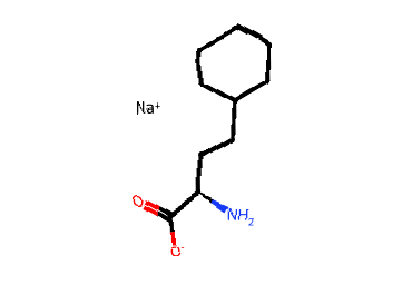 N[C@H](CCC1CCCCC1)C(=O)[O-].[Na+]